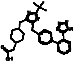 CC(C)(C)c1nc(CC2CCC(CC(=O)O)CC2)n(Cc2ccc(-c3ccccc3-c3nnn[nH]3)cc2)n1